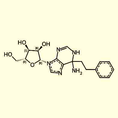 NC1(CCc2ccccc2)NC=Nc2c1ncn2[C@@H]1O[C@H](CO)[C@@H](O)[C@H]1O